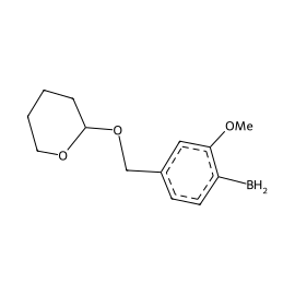 Bc1ccc(COC2CCCCO2)cc1OC